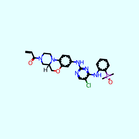 C=CC(=O)N1CCN2c3ccc(Nc4ncc(Cl)c(Nc5ccccc5P(C)(C)=O)n4)cc3OC[C@@H]2C1